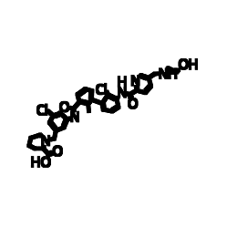 Cc1c(-c2nc3cc(CN4CCCCC4C(=O)O)cc(Cl)c3o2)cccc1-c1cccc(NC(=O)c2ccc(CNCCO)cn2)c1Cl